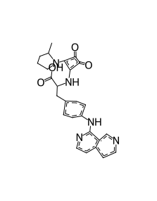 CC1CCCN1c1c(NC(Cc2ccc(Nc3nccc4ccncc34)cc2)C(=O)O)c(=O)c1=O